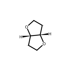 [CH]1CO[C@H]2[CH]CO[C@@H]12